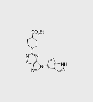 CCOC(=O)C1CCN(c2ncc3ncn(-c4ccc5[nH]ncc5c4)c3n2)CC1